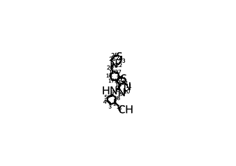 C#Cc1cccc(Nc2ncnc3sc4c(c23)CCC(CN2CCSCC2)C4)c1